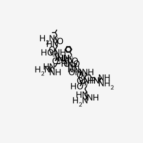 CC(C)C[C@H](N)C(=O)NCC(=O)N[C@@H](CO)C(=O)N[C@@H](CCCNC(=N)N)C(=O)N[C@@H](Cc1ccccc1)C(=O)N[C@@H](CO)C(=O)NCC(=O)N[C@@H](CCCNC(=N)N)C(=O)N[C@@H](CCCNC(=N)N)C(=O)O